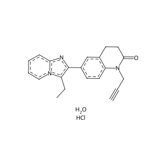 C#CCN1C(=O)CCc2cc(-c3nc4ccccn4c3CC)ccc21.Cl.O